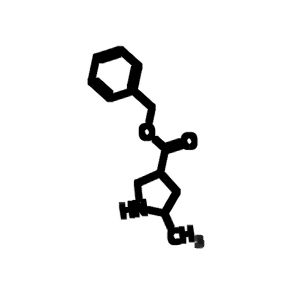 CC1CC(C(=O)OCc2ccccc2)CN1